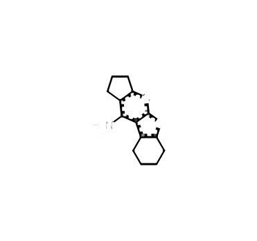 Nc1c2c(nc3sc4c(c13)CCCC4)CCC2